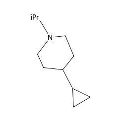 CC(C)N1CCC(C2CC2)CC1